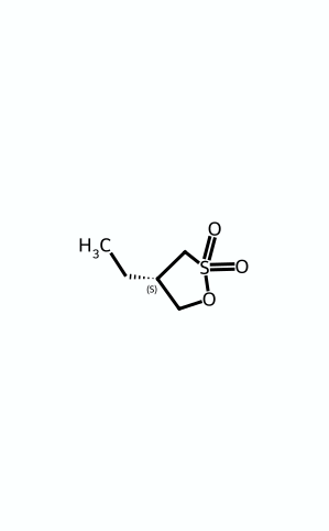 CC[C@H]1COS(=O)(=O)C1